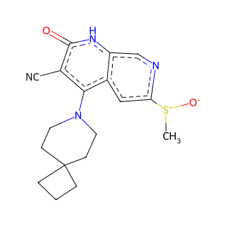 C[S+]([O-])c1cc2c(N3CCC4(CCC4)CC3)c(C#N)c(=O)[nH]c2cn1